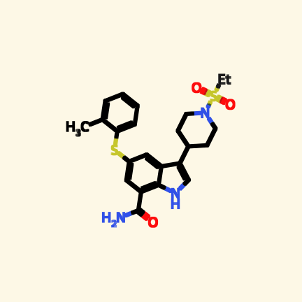 CCS(=O)(=O)N1CCC(c2c[nH]c3c(C(N)=O)cc(Sc4ccccc4C)cc23)CC1